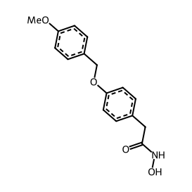 COc1ccc(COc2ccc(CC(=O)NO)cc2)cc1